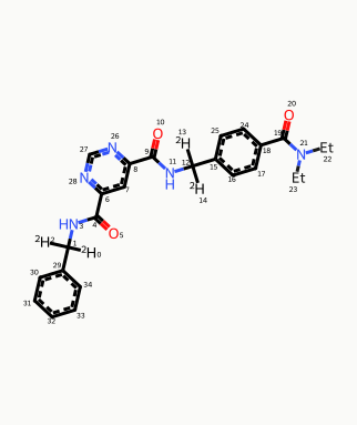 [2H]C([2H])(NC(=O)c1cc(C(=O)NC([2H])([2H])c2ccc(C(=O)N(CC)CC)cc2)ncn1)c1ccccc1